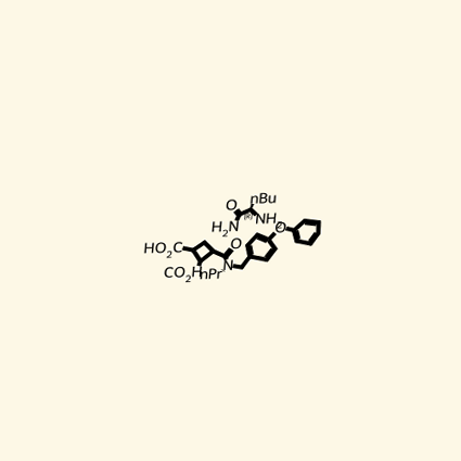 CCCC[C@@H](N)C(N)=O.CCCN(Cc1ccc(Oc2ccccc2)cc1)C(=O)C1CC(C(=O)O)C1C(=O)O